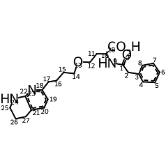 O=C(Cc1ccccc1)N[C@@H](CCOCCCCc1ccc2c(n1)NCCC2)C(=O)O